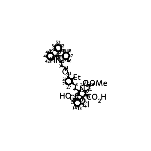 CCc1c(CCC2=C(C(=O)O)C(C)(c3c(Cl)cccc3Cl)C(C(=O)O)=C(CC(=O)OC)N2C)cccc1COCCCNC(c1ccccc1)(c1ccccc1)c1ccccc1